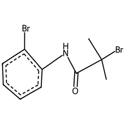 CC(C)(Br)C(=O)Nc1ccccc1Br